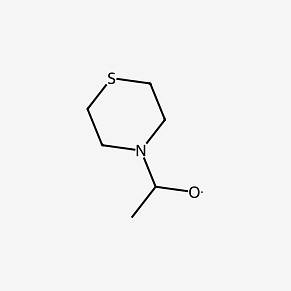 CC([O])N1CCSCC1